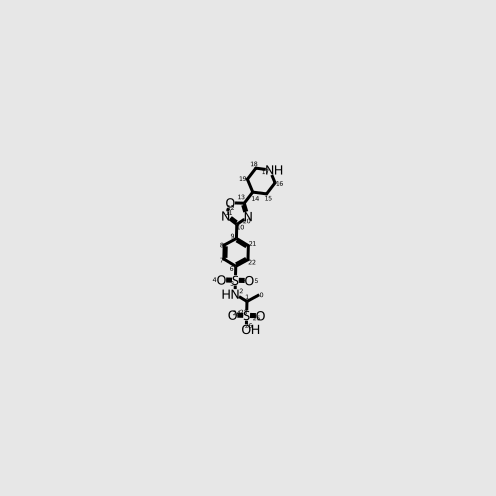 CC(NS(=O)(=O)c1ccc(-c2noc(C3CCNCC3)n2)cc1)S(=O)(=O)O